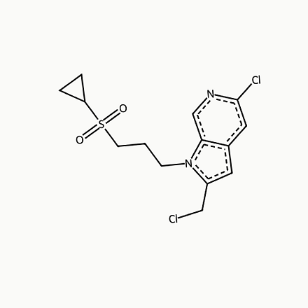 O=S(=O)(CCCn1c(CCl)cc2cc(Cl)ncc21)C1CC1